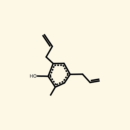 C=CCc1cc(C)c(O)c(CC=C)c1